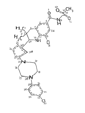 CC1(C)Cc2cc(C(=O)NS(C)(=O)=O)cc(Cl)c2NC1c1cccc(N2CCN(c3ccc(Cl)cc3)CC2)c1